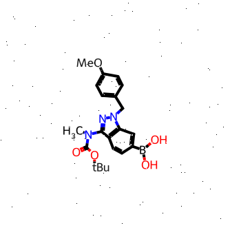 COc1ccc(Cn2nc(N(C)C(=O)OC(C)(C)C)c3ccc(B(O)O)cc32)cc1